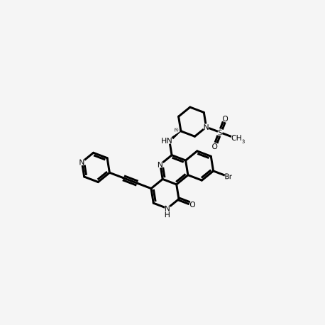 CS(=O)(=O)N1CCC[C@H](Nc2nc3c(C#Cc4ccncc4)c[nH]c(=O)c3c3cc(Br)ccc23)C1